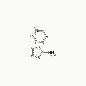 Nc1cccs1.c1ccnnc1